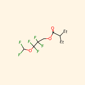 CCC(CC)C(=O)OCC(F)(F)C(F)(F)OC(F)F